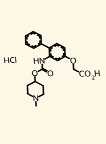 CN1CCC(OC(=O)Nc2cc(OCC(=O)O)ccc2-c2ccccc2)CC1.Cl